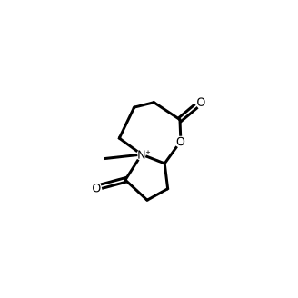 C[N+]12CCCC(=O)OC1CCC2=O